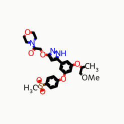 COCC(C)Oc1cc(Oc2ccc(S(C)(=O)=O)cc2)cc(-c2cc(OCC(=O)N3CCOCC3)n[nH]2)c1